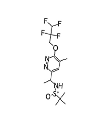 Cc1cc(C(C)N[S+]([O-])C(C)(C)C)nnc1OCC(F)(F)C(F)F